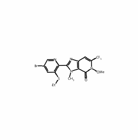 CCSc1cc(Br)cnc1-c1nc2cc(C(F)(F)F)n(OC)c(=O)c2n1C